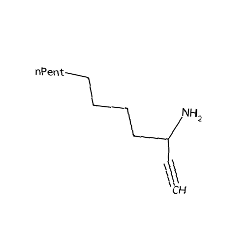 C#CC(N)CCCCCCCCC